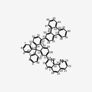 c1ccc(C2(c3ccccc3)c3cc(-c4ccc5ccc6cccnc6c5n4)ccc3-c3c(-c4ccc5c6ccccc6c6ccccc6c5c4)cccc32)cc1